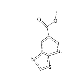 COC(=O)c1c[c]c2scnc2c1